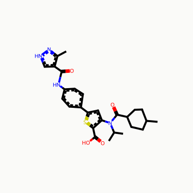 Cc1n[nH]cc1C(=O)Nc1ccc(-c2cc(N(C(=O)C3CCC(C)CC3)C(C)C)c(C(=O)O)s2)cc1